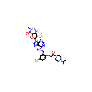 CNC(=O)[C@H]1O[C@@H](n2cnc3c(NCc4cc(Cl)ccc4OCC(=O)N4CCN(C(C)C)CC4)ncnc32)[C@H](O)[C@@H]1N